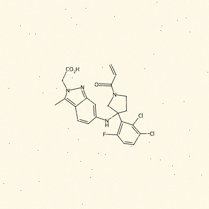 C=CC(=O)N1CCC(Nc2ccc3c(C)n(CC(=O)O)nc3c2)(c2c(F)ccc(Cl)c2Cl)C1